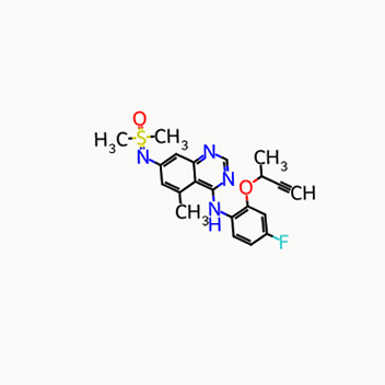 C#CC(C)Oc1cc(F)ccc1Nc1ncnc2cc(N=S(C)(C)=O)cc(C)c12